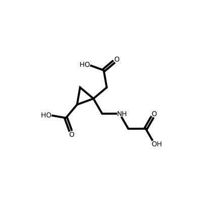 O=C(O)CNCC1(CC(=O)O)CC1C(=O)O